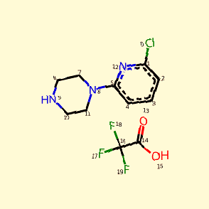 Clc1cccc(N2CCNCC2)n1.O=C(O)C(F)(F)F